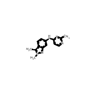 Cc1nccc(Nc2ccc3c(C)n(C)nc3c2)n1